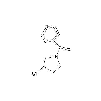 NC1CCN(C(=O)c2ccncc2)C1